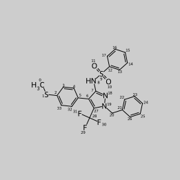 CSc1ccc(-c2c(NS(=O)(=O)c3ccccc3)nn(Cc3ccccc3)c2C(F)(F)F)cc1